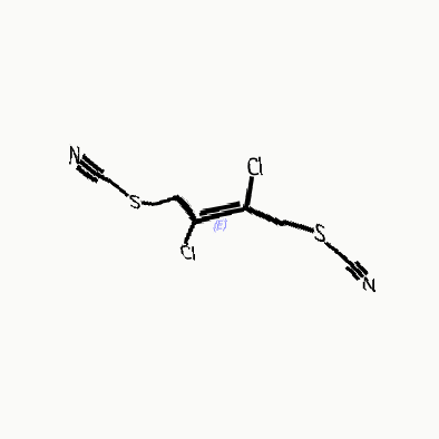 N#CSC/C(Cl)=C(\Cl)CSC#N